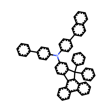 c1ccc(-c2ccc(N(c3ccc(-c4ccc5ccccc5c4)cc3)c3ccc4c(c3)C(c3ccccc3)(c3ccccc3)c3c-4c4ccccc4c4ccccc34)cc2)cc1